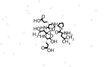 CC(C)C[C@H](N)C(=O)N1CCC[C@H]1C(=O)N[C@@H](CCC(=O)O)C(=O)N[C@H](C(=O)N[C@@H](CCC(=O)O)C(=O)O)[C@@H](C)O